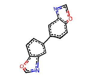 c1nc2cc(-c3ccc4ocnc4c3)ccc2o1